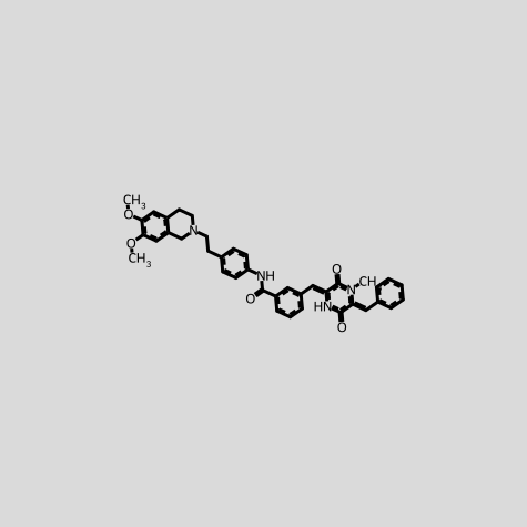 COc1cc2c(cc1OC)CN(CCc1ccc(NC(=O)c3cccc(C=c4[nH]c(=O)c(=Cc5ccccc5)n(C)c4=O)c3)cc1)CC2